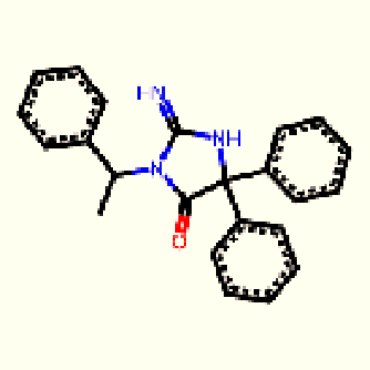 CC(c1ccccc1)N1C(=N)NC(c2ccccc2)(c2ccccc2)C1=O